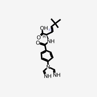 CC(C)(C)/C=C/[C@@H](NC(=O)c1ccc(N(C=N)C=N)cc1)C(=O)O